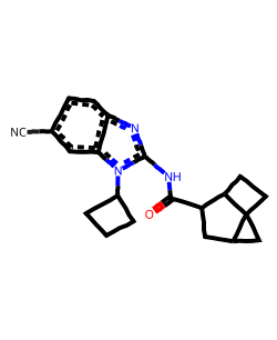 N#Cc1ccc2nc(NC(=O)C3CC4CC45CCC35)n(C3CCC3)c2c1